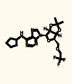 CC1(C)O[C@@H]2[C@H](O1)[C@@H](COCC(F)(F)F)O[C@H]2n1cnc2c(NC3CCCC3)ncnc21